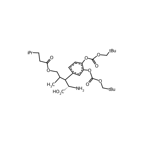 CC(C)CCC(=O)OCC(C)C(c1ccc(OC(=O)OCC(C)(C)C)c(OC(=O)OCC(C)(C)C)c1)[C@H](N)C(=O)O